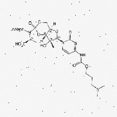 CCCCCCCN([C@@H](C)C(=O)O)P1(=O)OC[C@H]2O[C@@H](n3ccc(NC(=O)OCCCN(C)C)nc3=O)[C@](C)(O)[C@@H]2O1